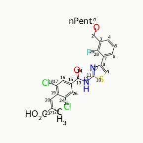 CCCCCOCc1cccc(-c2csc(NC(=O)c3cc(Cl)c(/C=C(\C)C(=O)O)c(Cl)c3)n2)c1F